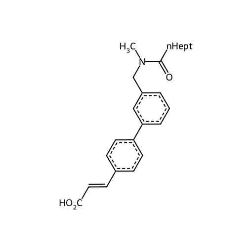 CCCCCCCC(=O)N(C)Cc1cccc(-c2ccc(C=CC(=O)O)cc2)c1